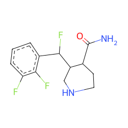 NC(=O)C1CCNCC1C(F)c1cccc(F)c1F